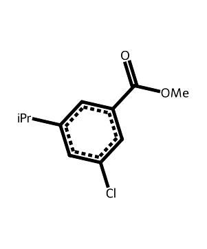 COC(=O)c1cc(Cl)cc(C(C)C)c1